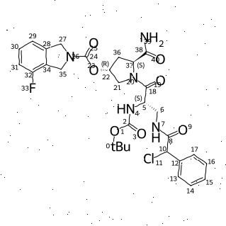 CC(C)(C)OC(=O)N[C@@H](CNC(=O)C(Cl)c1ccccc1)C(=O)N1C[C@H](OC(=O)N2Cc3cccc(F)c3C2)C[C@H]1C(N)=O